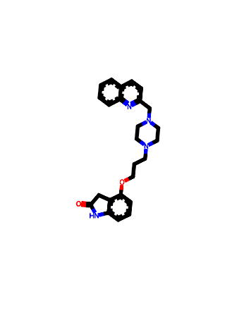 O=C1Cc2c(cccc2OCCCN2CCN(Cc3ccc4ccccc4n3)CC2)N1